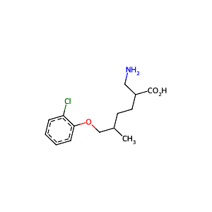 CC(CCC(CN)C(=O)O)COc1ccccc1Cl